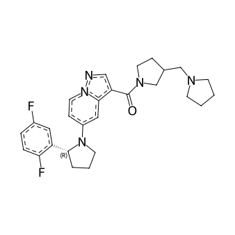 O=C(c1cnn2ccc(N3CCC[C@@H]3c3cc(F)ccc3F)cc12)N1CCC(CN2CCCC2)C1